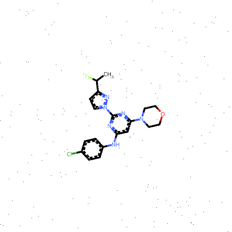 CC(F)c1ccn(-c2nc(Nc3ccc(Cl)cc3)cc(N3CCOCC3)n2)n1